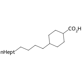 CCCCCCCCCCCC1CCC(C(=O)O)CC1